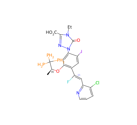 CCn1c(C(=O)O)nn(-c2cc(O[C@@H](C)C(P)(P)P)c(/C(F)=C/c3ncccc3Cl)cc2I)c1=O